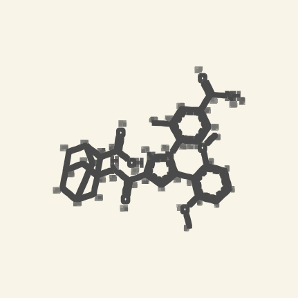 COc1cccc(OC)c1-c1cc(C(=O)NC23CC4CC(CC(C4)C2C(=O)O)C3)nn1-c1ccc(C(N)=O)cc1C